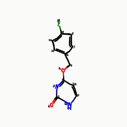 O=c1nc(OCc2ccc(F)cc2)cc[nH]1